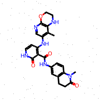 Cc1c(Nc2cc[nH]c(=O)c2C(=O)Nc2ccc3c(c2)CCC(=O)N3C)cnc2c1NCCO2